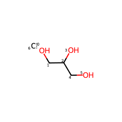 OCC(O)CO.[C]